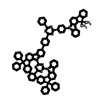 CC1(C)c2ccccc2-c2ccc3c(c21)c1ccccc1n3-c1ccc(-c2nc(-c3ccccc3)nc(-c3ccc(-c4ccc5c(c4)c4ccc6c(c4n5-c4nc(-c5ccccc5)nc(-n5c7ccccc7c7ccc8c(c75)-c5ccccc5C8(c5ccccc5)c5ccccc5)n4)-c4ccccc4C6(c4ccccc4)c4ccccc4)cc3)n2)cc1